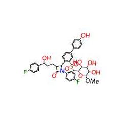 COC1OC(CS(=O)(=O)c2cc(-c3ccc(O)cc3)ccc2C2C(CCC(O)c3ccc(F)cc3)C(=O)N2c2ccc(F)cc2)C(O)C(O)C1O